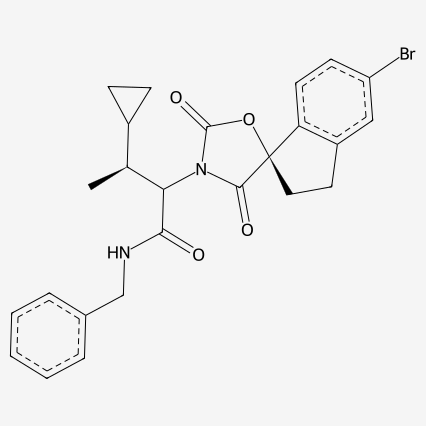 C[C@@H](C1CC1)C(C(=O)NCc1ccccc1)N1C(=O)O[C@@]2(CCc3cc(Br)ccc32)C1=O